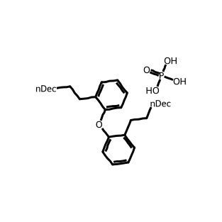 CCCCCCCCCCCCc1ccccc1Oc1ccccc1CCCCCCCCCCCC.O=P(O)(O)O